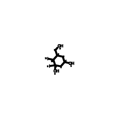 OCC1CC(O)CC(O)(I)C1I